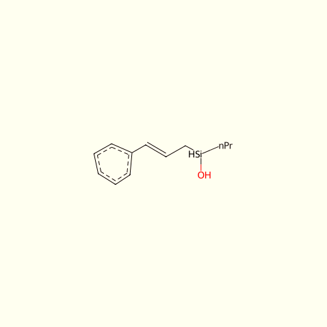 CCC[SiH](O)CC=Cc1ccccc1